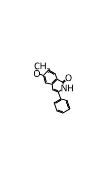 COc1ccc2c(=O)[nH]c(-c3ccccc3)cc2c1